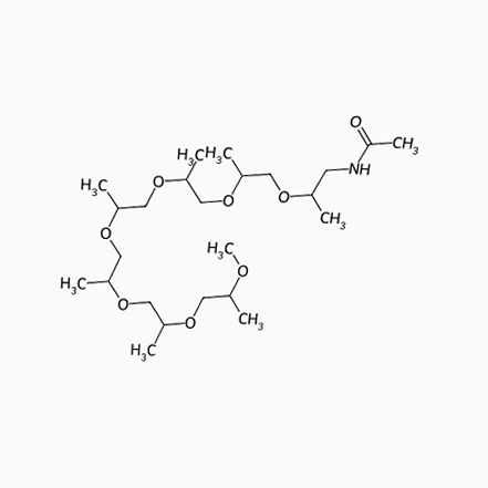 COC(C)COC(C)COC(C)COC(C)COC(C)COC(C)COC(C)CNC(C)=O